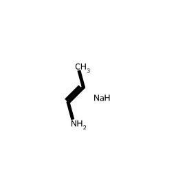 CC=CN.[NaH]